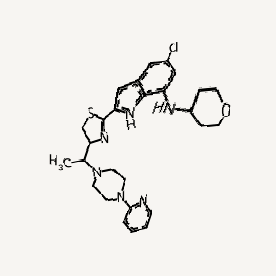 CC(C1CSC(c2cc3cc(Cl)cc(NC4CCOCC4)c3[nH]2)=N1)N1CCN(c2ccccn2)CC1